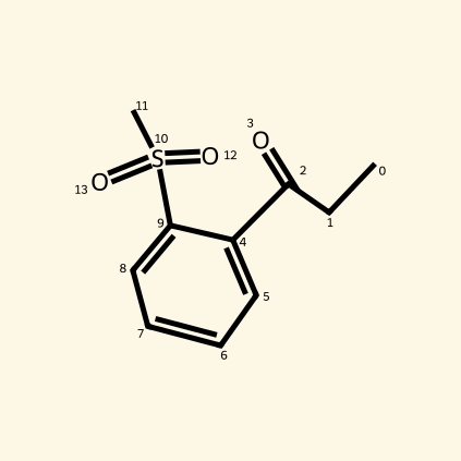 CCC(=O)c1ccccc1S(C)(=O)=O